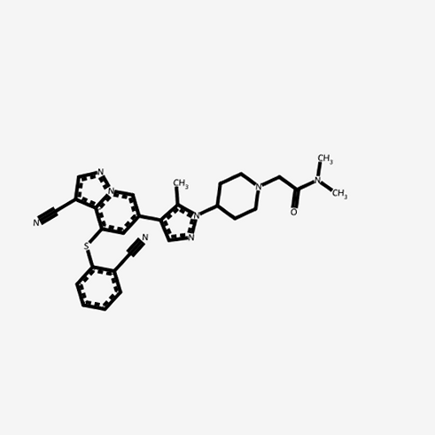 Cc1c(-c2cc(Sc3ccccc3C#N)c3c(C#N)cnn3c2)cnn1C1CCN(CC(=O)N(C)C)CC1